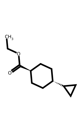 CCOC(=O)[C@H]1CC[C@H](C2CC2)CC1